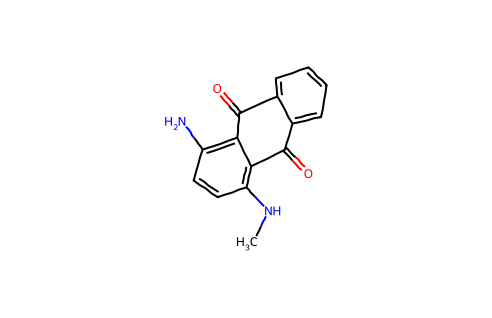 CNc1ccc(N)c2c1C(=O)c1ccccc1C2=O